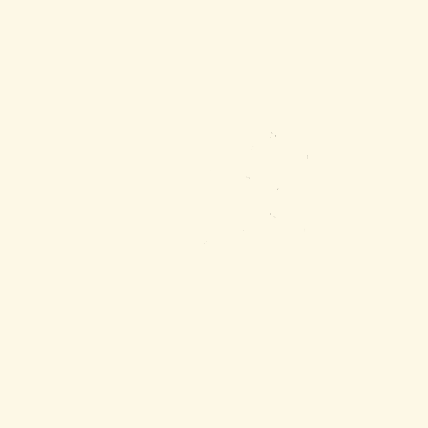 CN(C)C(=O)N(C(=O)N(C)C=S)c1cc(C(=O)OCc2ccccc2)c(Cl)cc1F